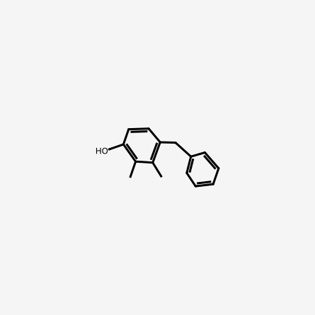 Cc1c(O)ccc(Cc2ccccc2)c1C